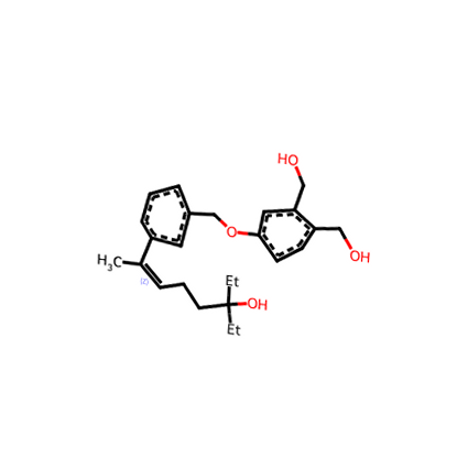 CCC(O)(CC)CC/C=C(/C)c1cccc(COc2ccc(CO)c(CO)c2)c1